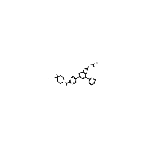 CCNC(=O)Nc1nc2cc(-c3cnc(C(=O)N4CCC(C)(C(=O)O)CC4)nc3)cc(-c3ccccn3)c2s1